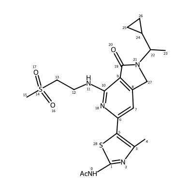 CC(=O)Nc1nc(C)c(-c2cc3c(c(NCCS(C)(=O)=O)n2)C(=O)N(C(C)C2CC2)C3)s1